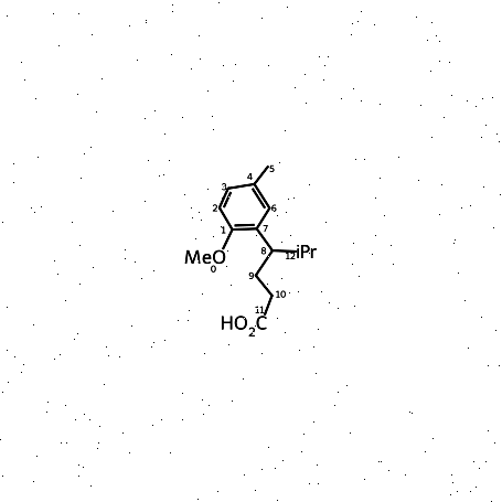 COc1ccc(C)cc1C(CCC(=O)O)C(C)C